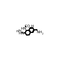 CCCNC1CCc2cc(CN)ccc2[C@H]1NC(=O)O